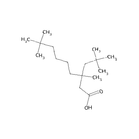 CC(C)(C)CCCCC(C)(CC(=O)O)CC(C)(C)C